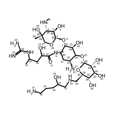 CN[C@@H]1[C@@H](O)[C@@H](O[C@H]2[C@H](NC(=O)C(O)CC(C)NC(=N)N)C[C@H](N)C(O[C@H]3O[C@H](CNCC(O)CCCN)[C@@H](O)[C@H](O)[C@H]3O)[C@@H]2O)OC[C@]1(C)O